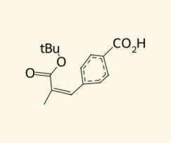 CC(=Cc1ccc(C(=O)O)cc1)C(=O)OC(C)(C)C